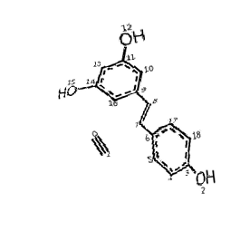 C#C.Oc1ccc(C=Cc2cc(O)cc(O)c2)cc1